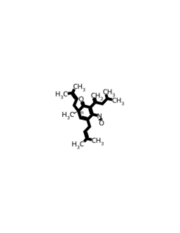 C=C(CC(C)C)C1=C(N=O)C(CC=C(C)C)=C[C@@](C)(CC=C(C)C)C1=O